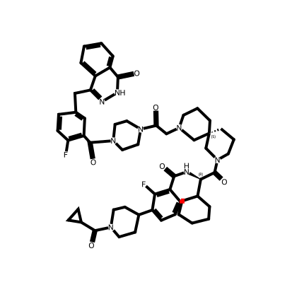 O=C(N[C@@H](C(=O)N1CCC[C@]2(CCCN(CC(=O)N3CCN(C(=O)c4cc(Cc5n[nH]c(=O)c6ccccc56)ccc4F)CC3)C2)C1)C1CCCCC1)c1cccc(C2CCN(C(=O)C3CC3)CC2)c1F